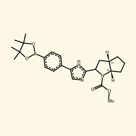 CC(C)(C)OC(=O)N1C(c2ncc(-c3ccc(B4OC(C)(C)C(C)(C)O4)cc3)[nH]2)C[C@@H]2CCC[C@@H]21